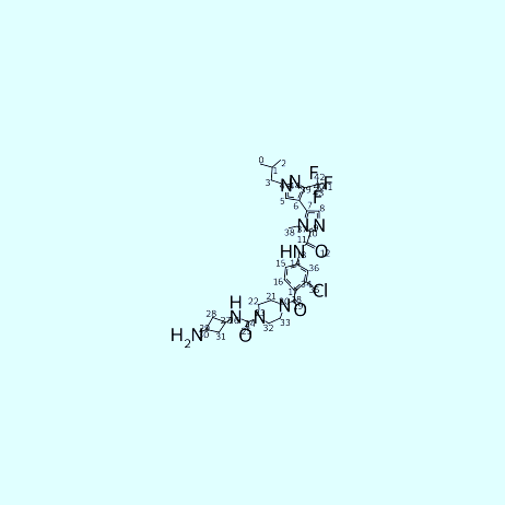 CC(C)Cn1cc(-c2cnc(C(=O)Nc3ccc(C(=O)N4CCN(C(=O)NC5CC(N)C5)CC4)c(Cl)c3)n2C)c(C(F)(F)F)n1